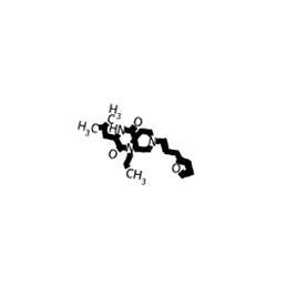 CCCN1C(=O)C(CC(C)C)NC(=O)C12CCN(C=CCc1ccco1)CC2